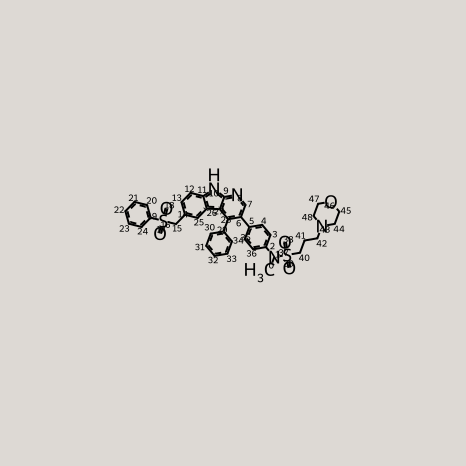 CN(c1ccc(-c2cnc3[nH]c4ccc(CS(=O)(=O)c5ccccc5)cc4c3c2-c2ccccc2)cc1)S(=O)(=O)CCCN1CCOCC1